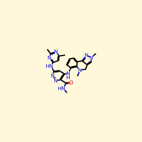 CNC(=O)c1nnc(Nc2cc(C)nc(C)n2)cc1Nc1cccc2c1N(C)Cc1cn(C)nc1-2